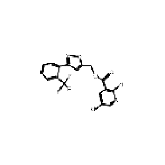 O=C(OCc1cc(-c2ccccc2C(F)(F)F)no1)c1cc(Cl)cnc1Cl